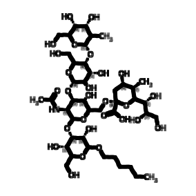 CCCCCCOC1OC(CO)[C@H](O)[C@H](OC2OC(CO[C@]3(C(=O)O)C[C@@H](O)[C@@H](C)C([C@H](O)[C@H](O)CO)O3)[C@@H](O)[C@H](O[C@@H]3OC(CO)[C@H](O[C@@H]4OC(CO)[C@H](O)[C@H](O)C4C)[C@H](O)C3O)[C@@H]2NC(C)=O)[C@@H]1O